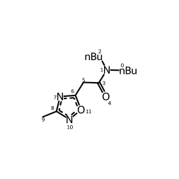 CCCCN(CCCC)C(=O)Cc1nc(C)no1